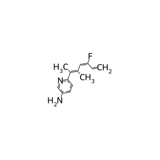 C=C/C(F)=C\C(C)=C(/C)c1ccc(N)cn1